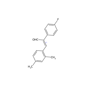 Cc1ccc(/C=C(\C=O)c2ccc(F)cc2)c(C)c1